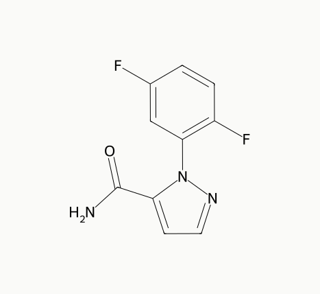 NC(=O)c1ccnn1-c1cc(F)ccc1F